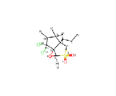 CCC[C@@]12CS(=O)(=O)[C@H]3OC31C(Cl)(Cl)C(C)C2(C)C